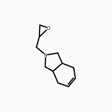 C1=CCC2CN(CC3CO3)CC2C1